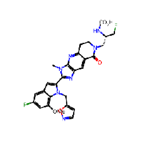 COc1cc(F)cc2cc(-c3nc4cc5c(nc4n3C)CCN(C[C@@H](CF)NC(=O)O)C5=O)n(Cc3ccno3)c12